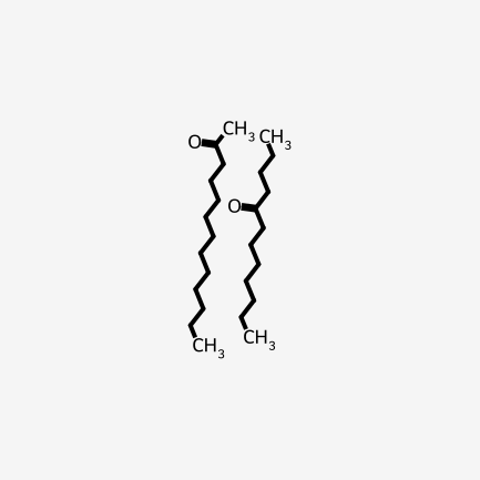 CCCCCCCC(=O)CCCC.CCCCCCCCCCCC(C)=O